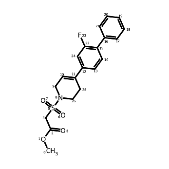 COC(=O)CS(=O)(=O)N1CC=C(c2ccc(-c3ccccc3)c(F)c2)CC1